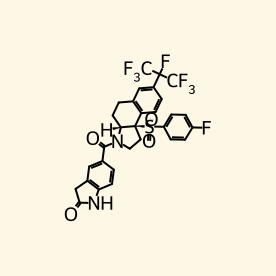 O=C1Cc2cc(C(=O)N3CC[C@@]4(S(=O)(=O)c5ccc(F)cc5)c5ccc(C(F)(C(F)(F)F)C(F)(F)F)cc5CC[C@@H]34)ccc2N1